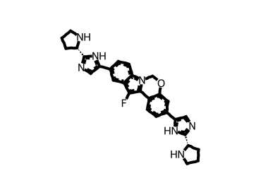 Fc1c2n(c3ccc(-c4cnc([C@@H]5CCCN5)[nH]4)cc13)COc1cc(-c3cnc([C@@H]4CCCN4)[nH]3)ccc1-2